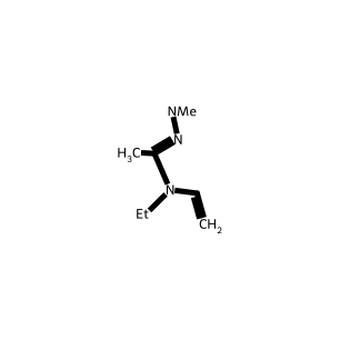 C=CN(CC)/C(C)=N/NC